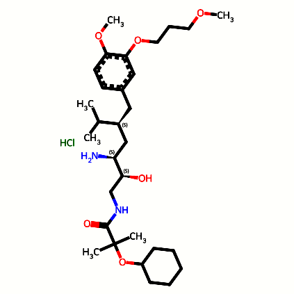 COCCCOc1cc(C[C@@H](C[C@H](N)[C@@H](O)CNC(=O)C(C)(C)OC2CCCCC2)C(C)C)ccc1OC.Cl